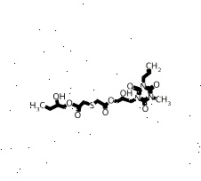 C=CCn1c(=O)n(C)c(=O)n(CC(O)COC(=O)CSCC(=O)OCC(O)CC)c1=O